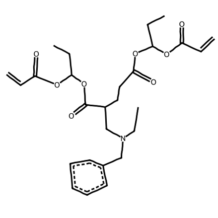 C=CC(=O)OC(CC)OC(=O)CCC(CN(CC)Cc1ccccc1)C(=O)OC(CC)OC(=O)C=C